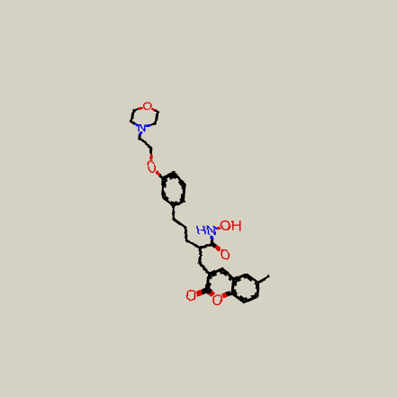 Cc1ccc2oc(=O)c(CC(CCCc3cccc(OCCN4CCOCC4)c3)C(=O)NO)cc2c1